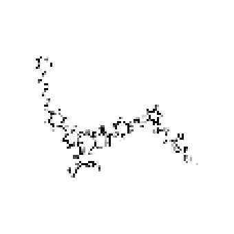 CCCCOCCOc1ccc(-c2ccc3c(c2)C=C(C(=O)Nc2ccc(SCc4nccn4CCCC(=O)OCC)cc2)CCN3CC(C)C)cc1